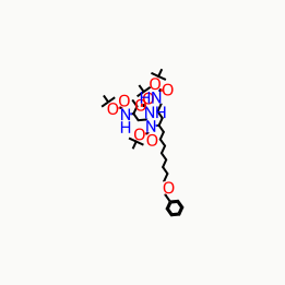 CCC(CC(NC(=O)OC(C)(C)C)N(C(=O)OC(C)(C)C)C(CCCCCCCCOCc1ccccc1)CCCNC(=O)OC(C)(C)C)NC(=O)OC(C)(C)C